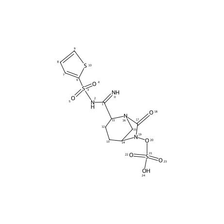 N=C(NS(=O)(=O)c1cccs1)C1CCC2CN1C(=O)N2OS(=O)(=O)O